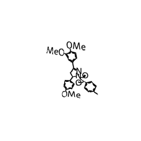 COc1ccc(C2CC(c3ccc(OC)c(OC)c3)=NN2S(=O)(=O)c2ccc(C)cc2)cc1